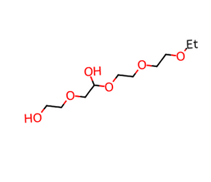 CCOCCOCCOC(O)COCCO